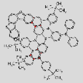 CC(C)(C)c1ccc(N(c2ccc(C(C)(C)C)cc2)c2ccc3c(c2)N(c2ccc(C(C)(C)C)cc2-c2ccccc2)c2cc(-c4ccc5oc6ccc7sc8ccccc8c7c6c5c4)cc4c2B3c2ccc(N(c3ccccc3)c3ccccc3)cc2N4c2ccc(C(C)(C)C)cc2-c2ccccc2)cc1